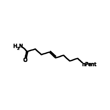 CCCCCCCC/C=C/CCC(N)=O